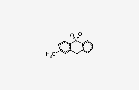 Cc1ccc2c(c1)Cc1ccccc1S2(=O)=O